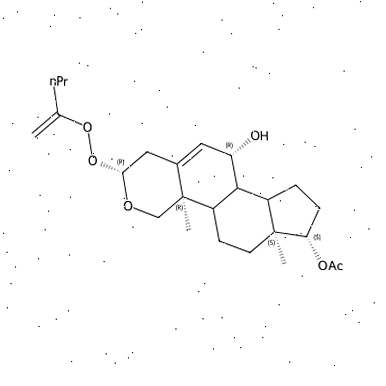 C=C(CCC)OO[C@@H]1CC2=C[C@H](O)C3C(CC[C@@]4(C)C3CC[C@@H]4OC(C)=O)[C@@]2(C)CO1